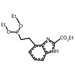 CCOC(=O)c1nc2c(CCP(OCC)OCC)cccc2[nH]1